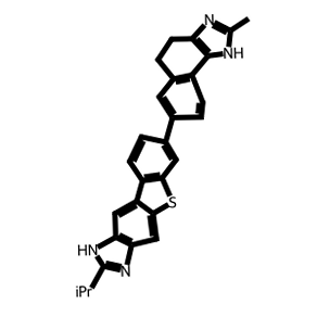 Cc1nc2c([nH]1)-c1ccc(-c3ccc4c(c3)sc3cc5nc(C(C)C)[nH]c5cc34)cc1CC2